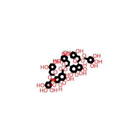 O=C(O[C@@H]1Oc2c(O)cc(O)cc2C[C@@H]1c1cc(O)c(=O)c2c(O)c(O)cc([C@H]3Oc4cc(O)cc(O)c4C[C@H]3OC(=O)c3cc(O)c(O)c(O)c3)c2c1)c1cc(O)c(=O)c2c(O)c(O)cc([C@H]3Oc4cc(O)cc(O)c4C[C@H]3OC(=O)c3cc(O)c(O)c(O)c3)c2c1